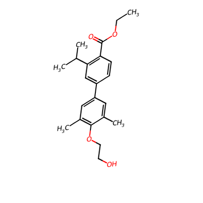 CCOC(=O)c1ccc(-c2cc(C)c(OCCO)c(C)c2)cc1C(C)C